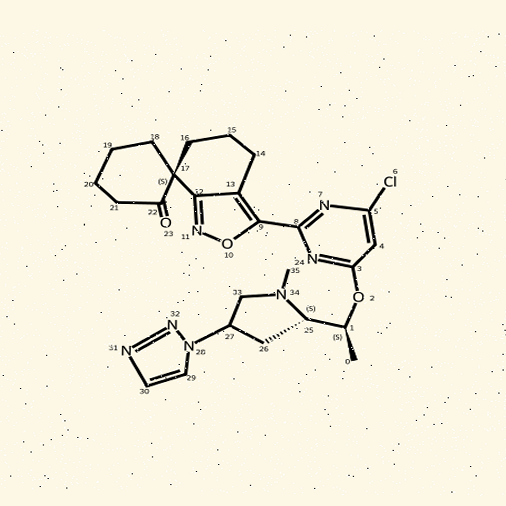 C[C@H](Oc1cc(Cl)nc(-c2onc3c2CCC[C@@]32CCCCC2=O)n1)[C@@H]1CC(n2ccnn2)CN1C